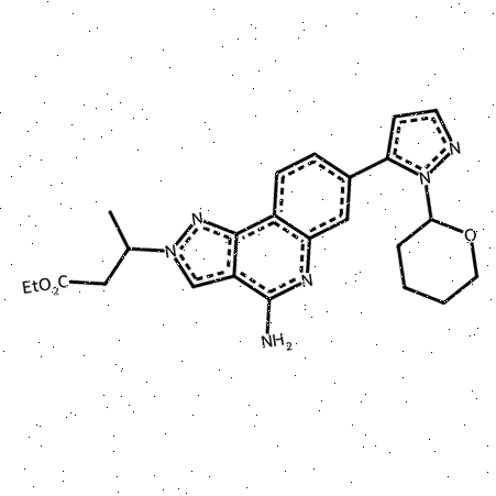 CCOC(=O)CC(C)n1cc2c(N)nc3cc(-c4ccnn4C4CCCCO4)ccc3c2n1